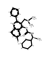 C[C@H](NC(=O)Oc1c(CN(C)C)c(-c2ccccc2)nc2ccc(F)cc12)C1CCCCC1